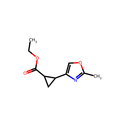 CCOC(=O)C1CC1c1coc(C)n1